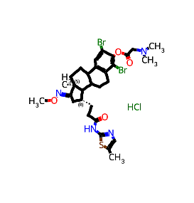 CON=C1C[C@@H](CCC(=O)Nc2ncc(C)s2)C2C3CCc4c(cc(Br)c(OC(=O)CN(C)C)c4Br)C3CC[C@]12C.Cl